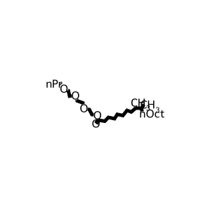 CCCCCCCCC(C)C(C)CCCCCCCC(=O)OCCOCCOCCOCCC